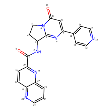 O=C(NC1CCn2c1nc(-c1ccncc1)cc2=O)c1ccc2ncccc2n1